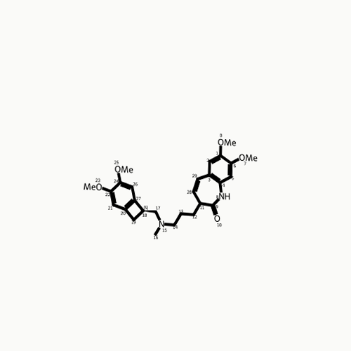 COc1cc2c(cc1OC)NC(=O)C(CCCN(C)C[C@H]1Cc3cc(OC)c(OC)cc31)C=C2